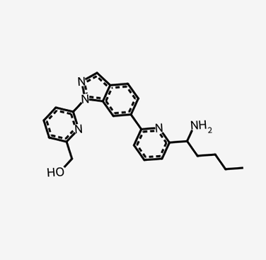 CCCCC(N)c1cccc(-c2ccc3cnn(-c4cccc(CO)n4)c3c2)n1